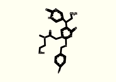 CCCCCCCCCCCCN(C)C(=O)Cn1cc(C(CC(=O)OCC)c2cnc(=O)[nH]c2)c(=O)nc1SCc1ccc(F)cc1